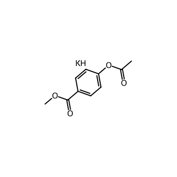 COC(=O)c1ccc(OC(C)=O)cc1.[KH]